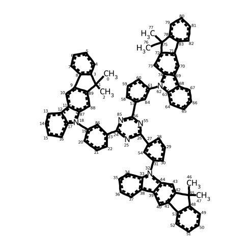 CC1(C)c2ccccc2-c2cc3c4ccccc4n(-c4cccc(-c5nc(-c6cccc(-n7c8ccccc8c8cc9c(cc87)C(C)(C)c7ccccc7-9)c6)nc(-c6cccc(-n7c8ccccc8c8cc9c(cc87)C(C)(C)c7ccccc7-9)c6)n5)c4)c3cc21